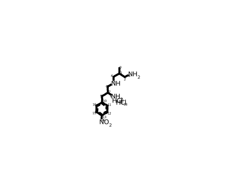 CC(CN)CNCC(N)Cc1ccc([N+](=O)[O-])cc1.Cl.Cl